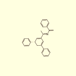 C=C(/N=C(\C)C1=C[C@@H](c2ccccc2)CC(c2ccccc2)=C1)c1ccccc1